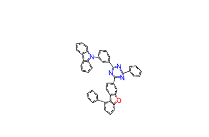 c1ccc(-c2nc(-c3cccc(-n4c5ccccc5c5ccccc54)c3)nc(-c3ccc4c(c3)oc3cccc(-c5ccccc5)c34)n2)cc1